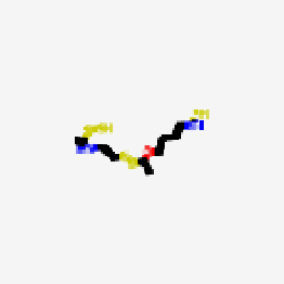 CC(NCCSSC(C)OCCCCNS)SS